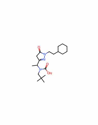 CC(C1=NN(CCC2CCCCC2)C(=O)C1)N(CC(C)(C)C)C(=O)O